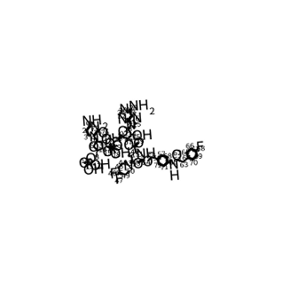 Nc1ccn([C@@H]2O[C@H](COP(=O)(O)O)[C@@H](OP(=O)(O)OCC3OC(n4cnc5c(N)ncnc54)C(O)C3OC(=O)[C@H](CCN3CCC(F)(F)CC3)NC(=O)OCc3ccc(NC(=O)Cc4ccc(F)cc4)cc3)[C@H]2O)c(=O)n1